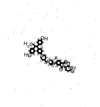 CCC(=C(c1ccc(O)cc1)c1ccc(N2CCC(CN3CC4CC3CN4c3cc4c(cc3F)C(=O)N(C3CCC(=O)NC3=O)C4=O)CC2)cc1)c1ccc(O)cc1